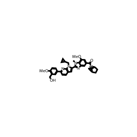 COc1ccc(-c2ccc3cc(-c4nc5cc(C(=O)N6CC7CCC6[C@@H]7C)cc(OC)c5n4C)n(CC4CC4)c3n2)cc1CO